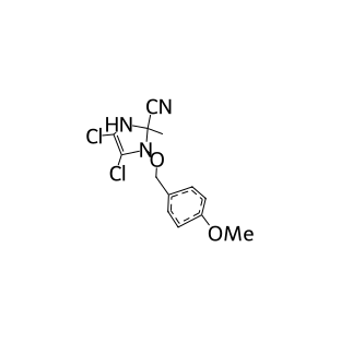 COc1ccc(CON2C(Cl)=C(Cl)NC2(C)C#N)cc1